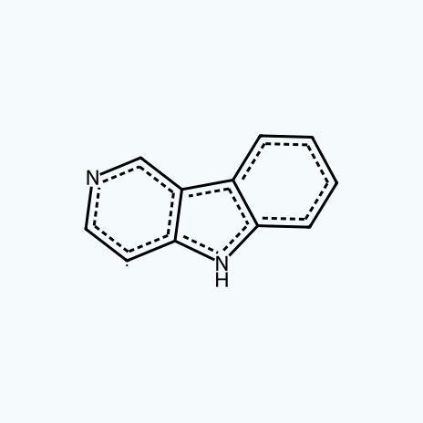 [c]1cncc2c1[nH]c1ccccc12